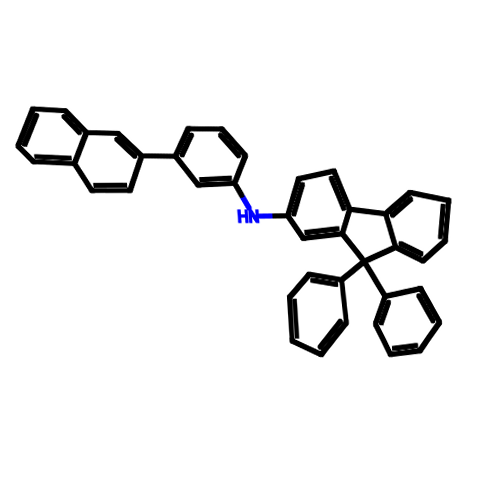 c1ccc(C2(c3ccccc3)c3ccccc3-c3ccc(Nc4cccc(-c5ccc6ccccc6c5)c4)cc32)cc1